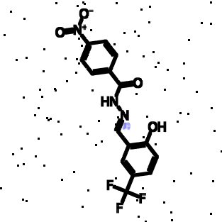 O=C(N/N=C/c1cc(C(F)(F)F)ccc1O)c1ccc([N+](=O)[O-])cc1